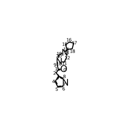 O=C(Cc1cccnc1)CN1CCN(C2CCCC2)CC1